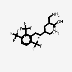 CCC(CCc1c(C(F)(F)F)ccc(C(F)(F)F)c1C(F)(F)F)CC(CN)C(=O)O